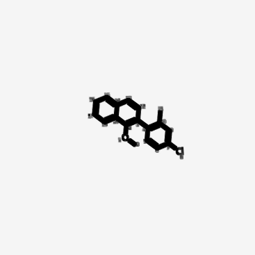 COc1c(-c2ccc(Cl)cc2C)ccc2ccccc12